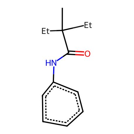 CCC(C)(CC)C(=O)Nc1ccccc1